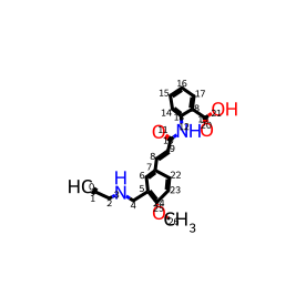 C#CCNCc1cc(/C=C/C(=O)Nc2ccccc2C(=O)O)ccc1OC